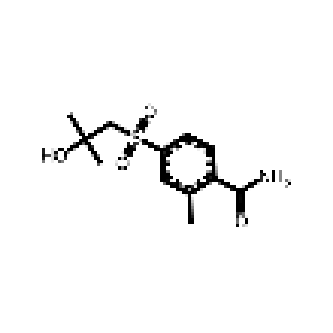 Cc1cc(S(=O)(=O)CC(C)(C)O)ccc1C(N)=O